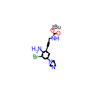 CC(C)(C)OC(=O)NCC#Cc1cc(-n2ccnc2)cc(Br)c1N